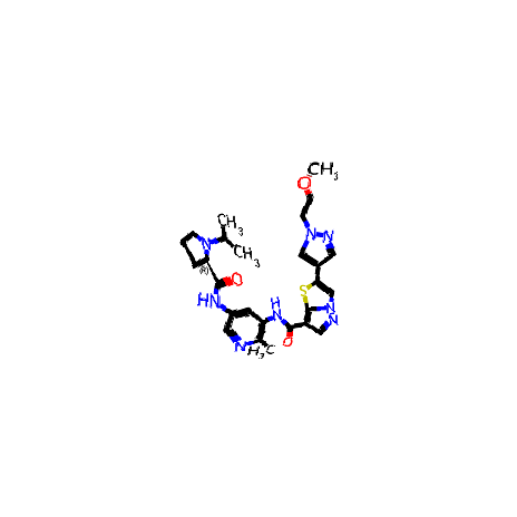 COCCn1cc(-c2cn3ncc(C(=O)Nc4cc(NC(=O)[C@H]5CCCN5C(C)C)cnc4C)c3s2)cn1